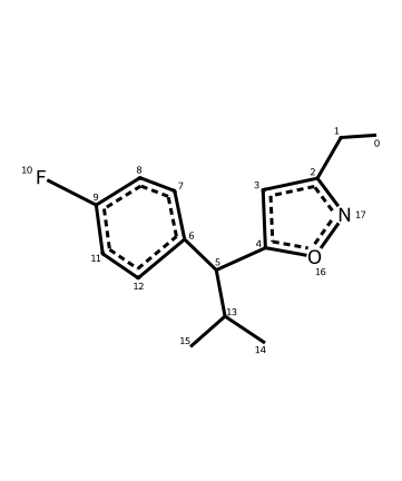 CCc1cc(C(c2ccc(F)cc2)C(C)C)on1